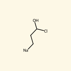 OC(Cl)C[CH2][Na]